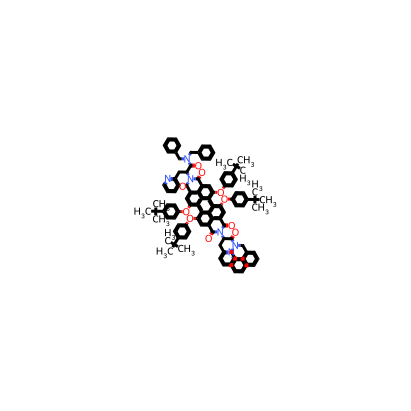 CC(C)(C)c1ccc(Oc2cc3c4c(cc(Oc5ccc(C(C)(C)C)cc5)c5c6c(Oc7ccc(C(C)(C)C)cc7)cc7c8c(cc(Oc9ccc(C(C)(C)C)cc9)c(c2c45)c86)C(=O)N(C(Cc2ccccn2)C(=O)N(Cc2ccccc2)Cc2ccccc2)C7=O)C(=O)N(C(Cc2ccccn2)C(=O)N(Cc2ccccc2)Cc2ccccc2)C3=O)cc1